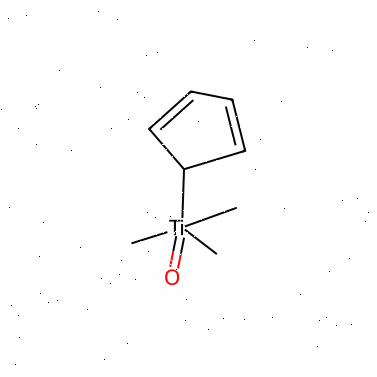 [CH3][Ti]([CH3])([CH3])(=[O])[CH]1C=CC=C1